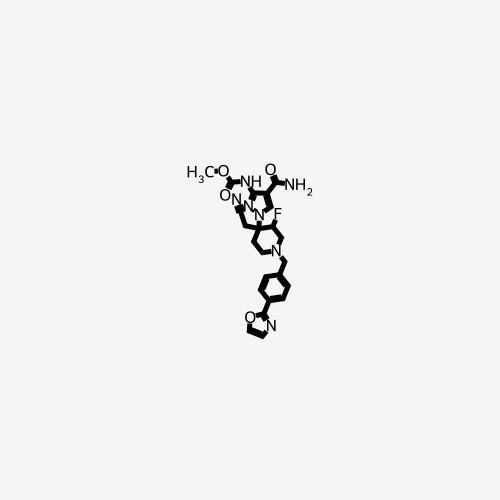 COC(=O)Nc1nn(C2(CC#N)CCN(Cc3ccc(-c4ncco4)cc3)CC2F)cc1C(N)=O